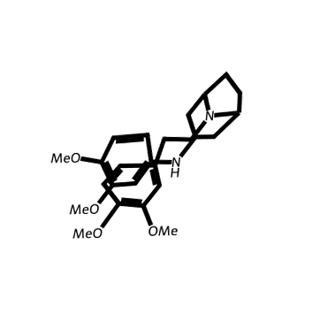 COc1ccc(CCN2C3CCC2CC(Nc2ccc(OC)c(OC)c2)C3)cc1OC